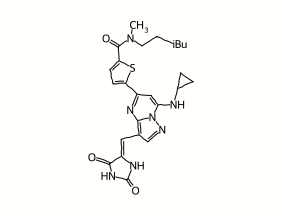 CCC(C)CCN(C)C(=O)c1ccc(-c2cc(NC3CC3)n3ncc(/C=C4\NC(=O)NC4=O)c3n2)s1